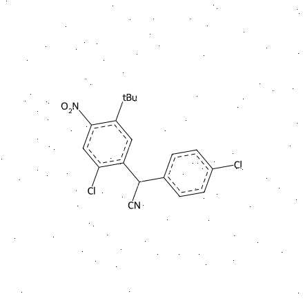 CC(C)(C)c1cc(C(C#N)c2ccc(Cl)cc2)c(Cl)cc1[N+](=O)[O-]